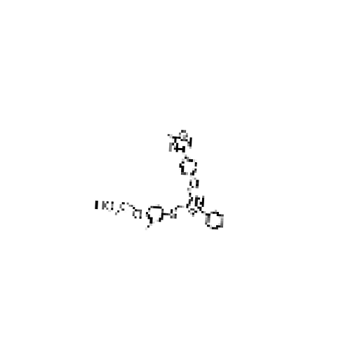 Cc1nc(-c2ccc(OCc3nc(-c4ccccc4)sc3CSc3ccc(OCC(=O)O)c(C)c3)cc2)no1